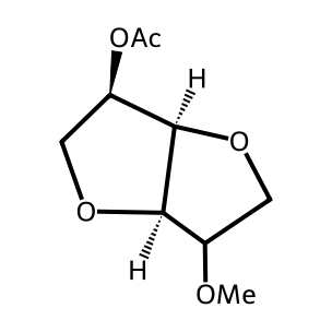 COC1CO[C@H]2[C@@H]1OC[C@H]2OC(C)=O